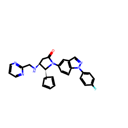 O=C1C[C@H](NCc2ncccn2)[C@@H](c2ccccc2)N1c1ccc2c(cnn2-c2ccc(F)cc2)c1